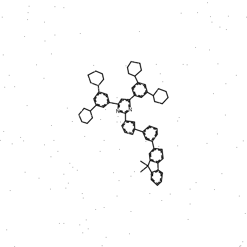 CC1(C)c2ccccc2-c2ccc(-c3cccc(-c4cccc(-c5nc(-c6cc(C7CCCCC7)cc(C7CCCCC7)c6)cc(-c6cc(C7CCCCC7)cc(C7CCCCC7)c6)n5)c4)c3)cc21